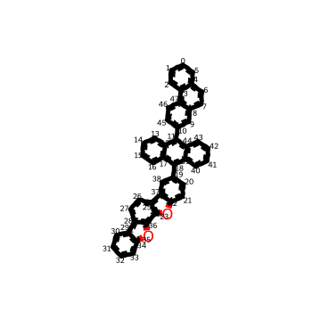 c1ccc2c(c1)ccc1cc(-c3c4ccccc4c(-c4ccc5oc6c(ccc7c8ccccc8oc76)c5c4)c4ccccc34)ccc12